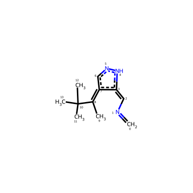 C=N/C=c1/[nH]nc/c1=C(/C)C(C)(C)C